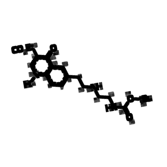 CCOC(=O)c1cn(CC)c2ccc(CCNCCNC(=O)OC(C)(C)C)cc2c1=O